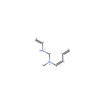 C=C/C=C\N(C)CNC=C